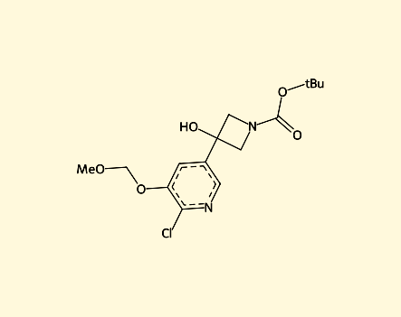 COCOc1cc(C2(O)CN(C(=O)OC(C)(C)C)C2)cnc1Cl